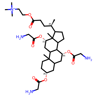 C[C@H](CCC(=O)OCC[N+](C)(C)C)C1CCC2C3C(C[C@H](OC(=O)CN)C21C)C1(C)CC[C@@H](OC(=O)CN)CC1C[C@H]3OC(=O)CN